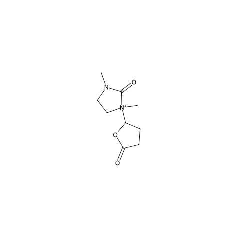 CN1CC[N+](C)(C2CCC(=O)O2)C1=O